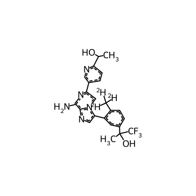 [2H]C([2H])([2H])c1ccc(C(C)(O)C(F)(F)F)cc1-c1cnc2c(N)nc(-c3ccc(C(C)O)nc3)cn12